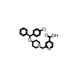 O=C(O)c1ccnc(CN2CCC(OC(c3ccccc3)c3ccc(Cl)cc3)CC2)c1